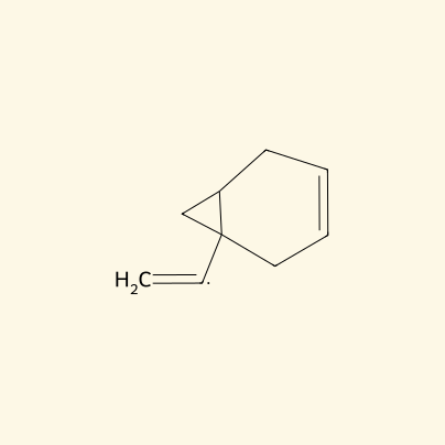 C=[C]C12CC=CCC1C2